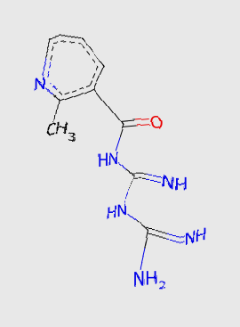 Cc1ncccc1C(=O)NC(=N)NC(=N)N